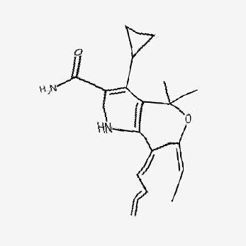 C=C/C=C1\C(=C/C)OC(C)(C)c2c1[nH]c(C(N)=O)c2C1CC1